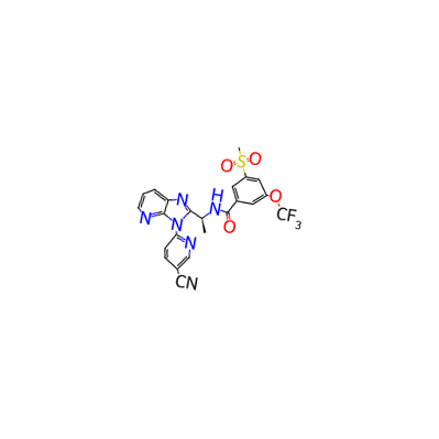 C[C@H](NC(=O)c1cc(OC(F)(F)F)cc(S(C)(=O)=O)c1)c1nc2cccnc2n1-c1ccc(C#N)cn1